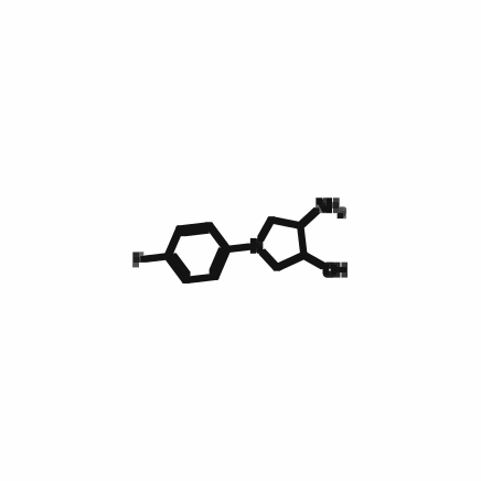 NC1CN(c2ccc(F)cc2)CC1O